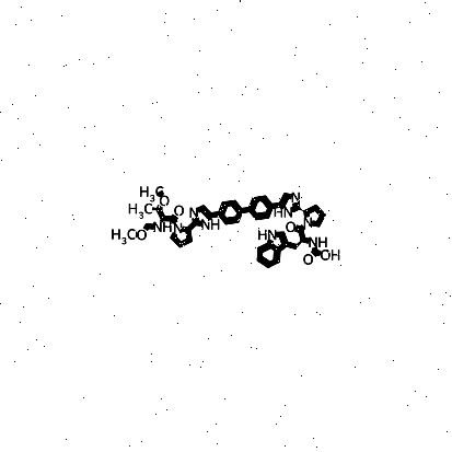 COCN[C@H](C(=O)N1CCCC1c1ncc(-c2ccc(-c3ccc(-c4cnc([C@@H]5CCCN5C(=O)[C@H](Cc5c[nH]c6ccccc56)NC(=O)O)[nH]4)cc3)cc2)[nH]1)[C@@H](C)OC